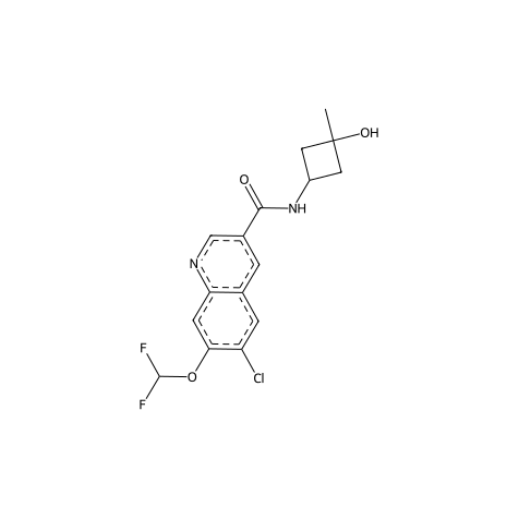 CC1(O)CC(NC(=O)c2cnc3cc(OC(F)F)c(Cl)cc3c2)C1